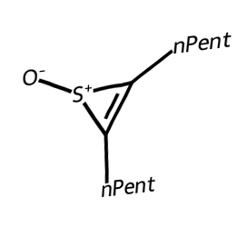 CCCCCC1=C(CCCCC)[S+]1[O-]